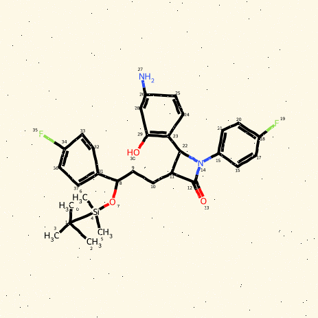 CC(C)(C)[Si](C)(C)OC(CCC1C(=O)N(c2ccc(F)cc2)C1c1ccc(N)cc1O)c1ccc(F)cc1